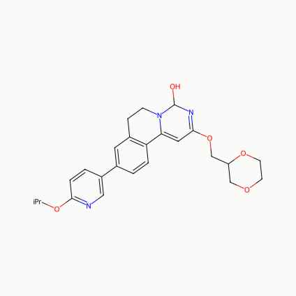 CC(C)Oc1ccc(-c2ccc3c(c2)CCN2C3=CC(OCC3COCCO3)=NC2O)cn1